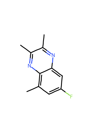 Cc1nc2cc(F)cc(C)c2nc1C